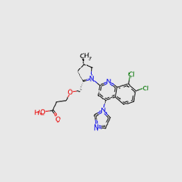 C[C@@H]1C[C@@H](COCCC(=O)O)N(c2cc(-n3ccnc3)c3ccc(Cl)c(Cl)c3n2)C1